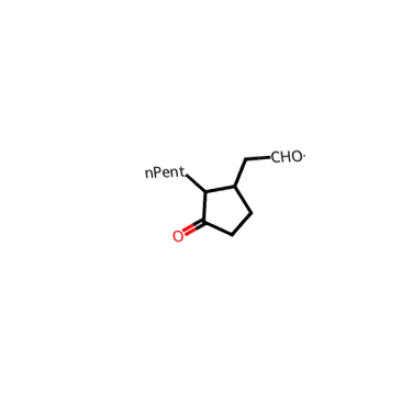 CCCCCC1C(=O)CCC1C[C]=O